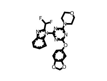 FC(F)c1nc2ccccc2n1-c1nc(Oc2ccc3c(c2)OCO3)nc(N2CCOCC2)n1